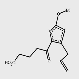 C=CCc1cc(OCC)sc1C(=O)CCCC(=O)O